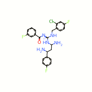 NC(CC(N)c1ccc(F)cc1)N/C(=N\C(=O)c1cccc(F)c1)NCc1ccc(F)cc1Cl